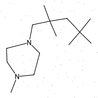 CN1CCN(CC(C)(C)CC(C)(C)C)CC1